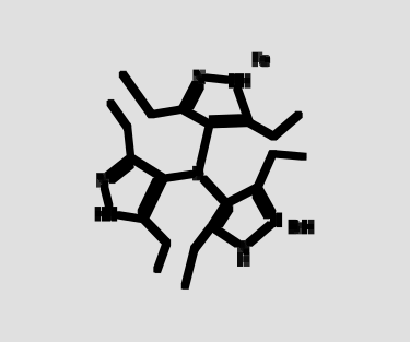 Br.CCc1n[nH]c(CC)c1B(c1c(CC)n[nH]c1CC)c1c(CC)n[nH]c1CC.[Fe]